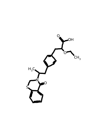 CCOC(Cc1ccc(CC(C)N2CSc3ccccc3C2=O)cc1)C(=O)O